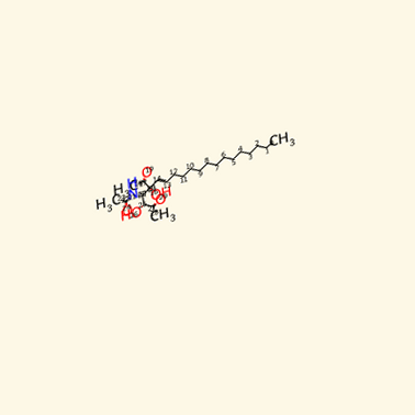 CCCCCCCCCCCCCC=C[C@@](O)(C(C)=O)[C@@H](NC(C)=O)C(O)C(C)=O